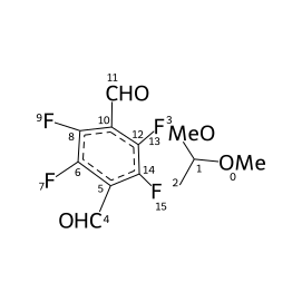 COC(C)OC.O=Cc1c(F)c(F)c(C=O)c(F)c1F